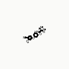 C/N=N\C(=C/NC)C(=O)N[C@H]1CC[C@H](Oc2ccc(C#N)c(OC)c2)CC1